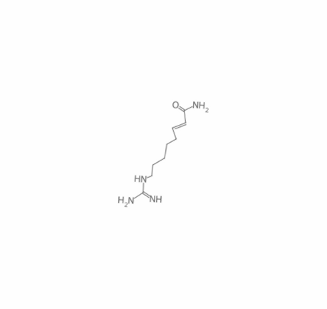 N=C(N)NCCCCCC=CC(N)=O